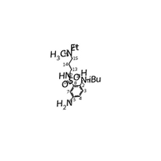 CCC(C)Nc1ccc(N)cc1S(=O)(=O)NCCCN(C)CC